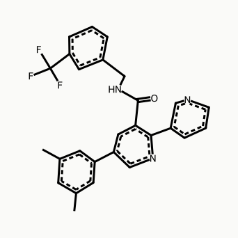 Cc1cc(C)cc(-c2cnc(-c3cccnc3)c(C(=O)NCc3cccc(C(F)(F)F)c3)c2)c1